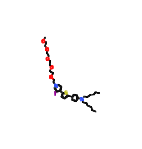 CCCCCCN(CCCCCC)c1ccc(-c2ccc(-c3cc[n+](CCOCCOCCOCCOCCOC)cc3)s2)cc1.[I-]